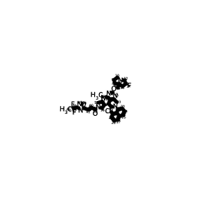 CN(c1nc(OCC23CCCN2C[C@H](F)C3)nc2c1CCN(c1cccc3cccc(Cl)c13)C2)[C@@H]1CCN(C(=O)/C=C/c2nc(C(C)(F)F)no2)C1